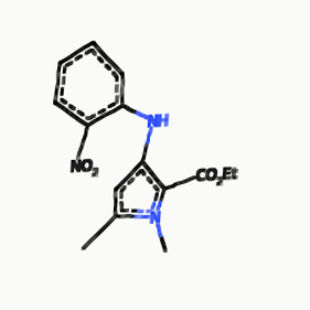 CCOC(=O)c1c(Nc2ccccc2[N+](=O)[O-])cc(C)n1C